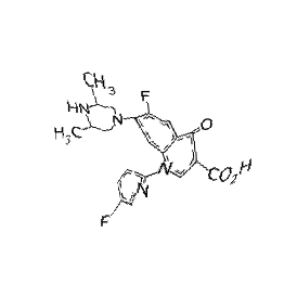 CC1CN(c2cc3c(cc2F)c(=O)c(C(=O)O)cn3-c2ccc(F)cn2)CC(C)N1